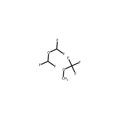 COC(F)(F)F.FC(F)OC(F)F